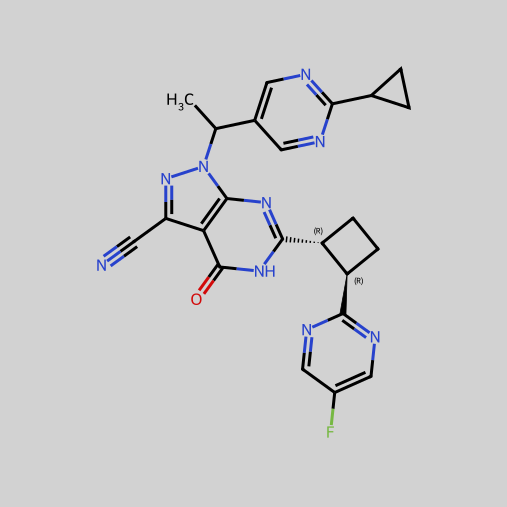 CC(c1cnc(C2CC2)nc1)n1nc(C#N)c2c(=O)[nH]c([C@@H]3CC[C@H]3c3ncc(F)cn3)nc21